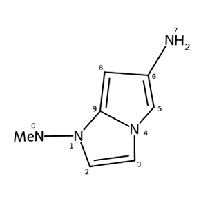 CNn1ccn2cc(N)cc12